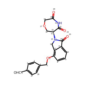 O=Cc1ccc(COc2cccc3c2CN([C@H]2COCC(=O)NC2=O)C3=O)cc1